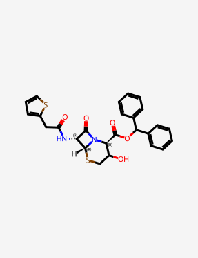 O=C(Cc1cccs1)N[C@@H]1C(=O)N2[C@@H]1SCC(O)[C@@H]2C(=O)OC(c1ccccc1)c1ccccc1